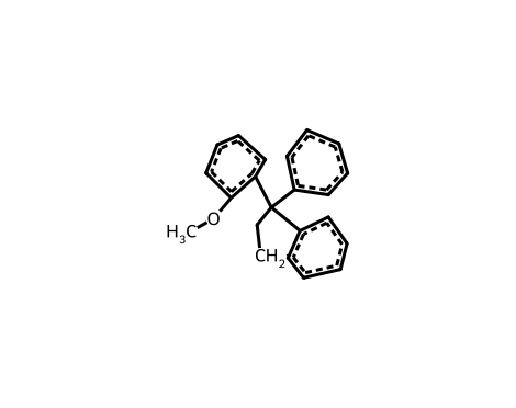 [CH2]CC(c1ccccc1)(c1ccccc1)c1ccccc1OC